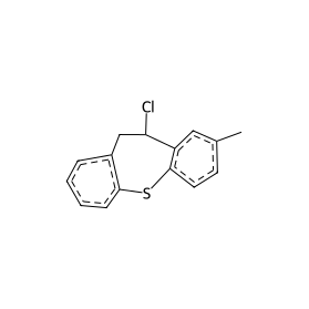 Cc1ccc2c(c1)C(Cl)Cc1ccccc1S2